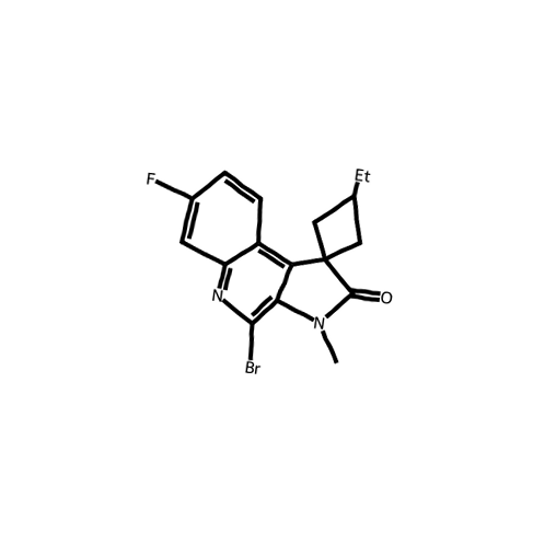 CCC1CC2(C1)C(=O)N(C)c1c(Br)nc3cc(F)ccc3c12